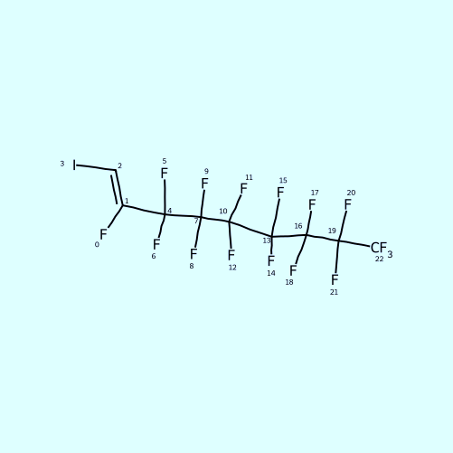 FC(=CI)C(F)(F)C(F)(F)C(F)(F)C(F)(F)C(F)(F)C(F)(F)C(F)(F)F